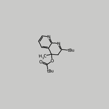 CC(C)(C)C(=O)OC1(C)CC(C(C)(C)C)=Nc2ncccc21